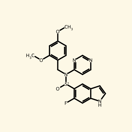 COc1ccc(CN(c2ccncn2)[S+]([O-])c2cc3cc[nH]c3cc2F)c(OC)c1